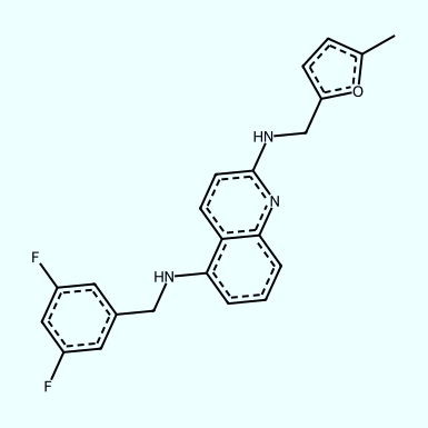 Cc1ccc(CNc2ccc3c(NCc4cc(F)cc(F)c4)cccc3n2)o1